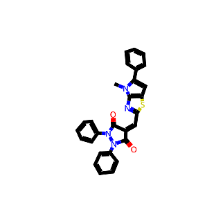 Cn1c(-c2ccccc2)cc2sc(C=C3C(=O)N(c4ccccc4)N(c4ccccc4)C3=O)nc21